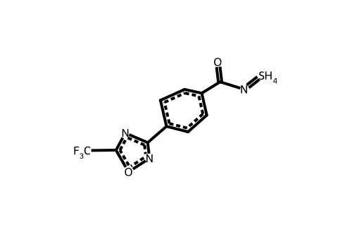 O=C(N=[SH4])c1ccc(-c2noc(C(F)(F)F)n2)cc1